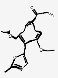 COc1cc(C(=O)O)cc(OC)c1-c1cnc(C)o1